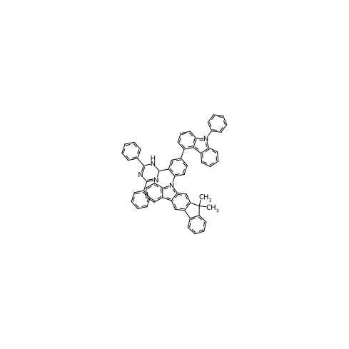 CC1(C)c2ccccc2-c2cc3c4ccccc4n(-c4ccc(-c5cccc6c5c5ccccc5n6-c5ccccc5)cc4C4N=C(c5ccccc5)N=C(c5ccccc5)N4)c3cc21